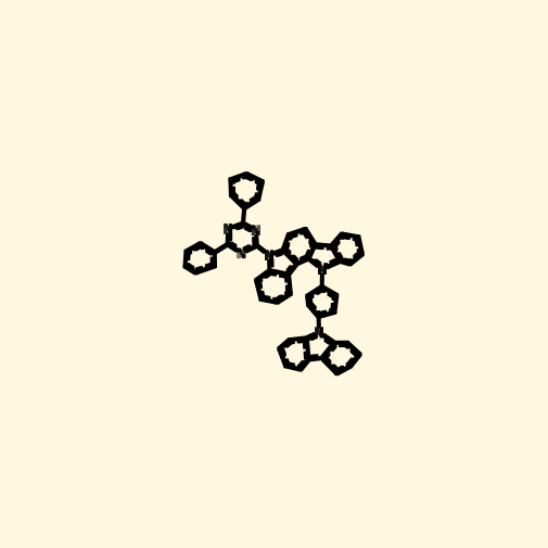 c1ccc(-c2nc(-c3ccccc3)nc(-n3c4ccccc4c4c3ccc3c5ccccc5n(-c5ccc(-n6c7ccccc7c7ccccc76)cc5)c34)n2)cc1